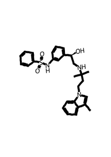 Cc1cn(CCC(C)(C)NC[C@H](O)c2cccc(NS(=O)(=O)c3ccccc3)c2)c2ccccc12